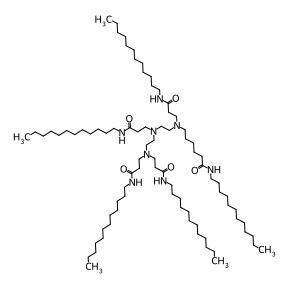 CCCCCCCCCCCCNC(=O)CCCCCN(CCC(=O)NCCCCCCCCCCCC)CCN(CCC(=O)NCCCCCCCCCCCC)CCN(CCC(=O)NCCCCCCCCCCCC)CCC(=O)NCCCCCCCCCCCC